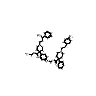 CCOC(=O)C1(c2ccccc2)CCN(CCC(O)c2ccccc2)CC1.CCOC(=O)C1(c2ccccc2)CCN(CCc2ccc(N)cc2)CC1